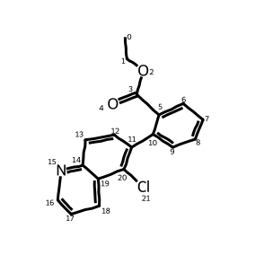 CCOC(=O)c1ccccc1-c1ccc2ncccc2c1Cl